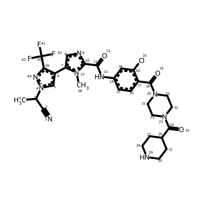 CC(C#N)n1cc(-c2cnc(C(=O)Nc3ccc(C(=O)N4CCN(C(=O)C5CCNCC5)CC4)c(Cl)c3)n2C)c(C(F)(F)F)n1